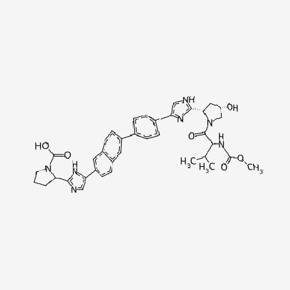 COC(=O)NC(C(=O)N1C[C@@H](O)C[C@H]1c1nc(-c2ccc(-c3ccc4cc(-c5cnc(C6CCCN6C(=O)O)[nH]5)ccc4c3)cc2)c[nH]1)C(C)C